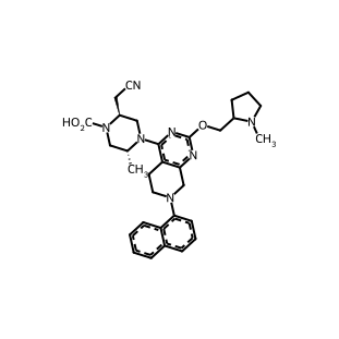 C[C@@H]1CN(C(=O)O)[C@@H](CC#N)CN1c1nc(OCC2CCCN2C)nc2c1CCN(c1cccc3ccccc13)C2